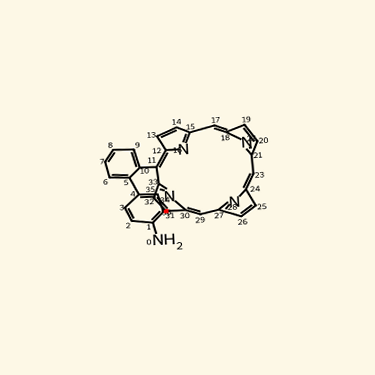 Nc1ccc(-c2ccccc2C2=C3C=CC(=N3)C=C3C=CC(=N3)C=C3C=CC(=N3)C=C3C=CC2=N3)cc1